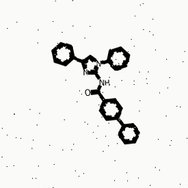 O=C(Nc1nc(-c2ccccc2)cn1-c1ccccc1)c1ccc(-c2ccccc2)cc1